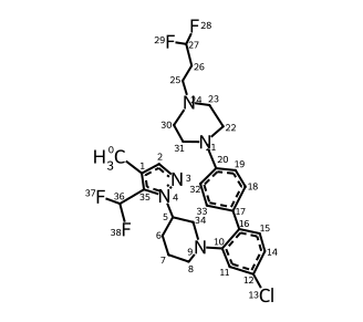 Cc1cnn(C2CCCN(c3cc(Cl)ccc3-c3ccc(N4CCN(CCC(F)F)CC4)cc3)C2)c1C(F)F